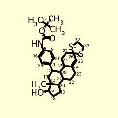 CC(C)(C)OC(=O)Nc1ccc(C2CC3(C)C(O)CCC3C3CCC4=CC5(CCC4C23)SCCS5)cc1